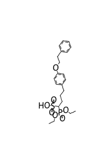 CCOP(=O)(OCC)C(CCCc1ccc(OCCc2ccccc2)cc1)S(=O)(=O)O